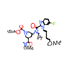 COCCCCn1c(C(=O)N(CC(C)C)[C@H]2CC(C(=O)N(C)OC)CN(C(=O)OC(C)(C)C)C2)nc2ccc(F)cc21